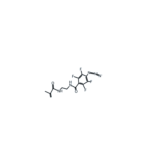 C=C(C)C(=O)NCCNC(=O)c1c(F)c(F)c(N=[N+]=[N-])c(F)c1F